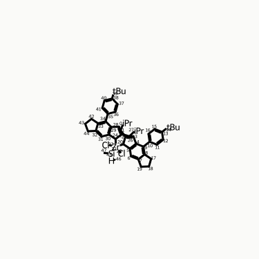 CC(C)CC1=Cc2c(cc3c(c2-c2ccc(C(C)(C)C)cc2)CCC3)[CH]1[Zr]([Cl])([Cl])([CH]1C(CC(C)C)=Cc2c1cc1c(c2-c2ccc(C(C)(C)C)cc2)CCC1)[SiH](C)C